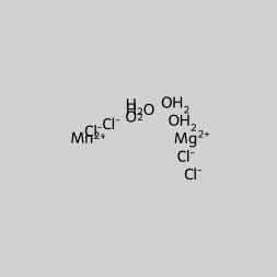 O.O.O.O.[Cl-].[Cl-].[Cl-].[Cl-].[Mg+2].[Mn+2]